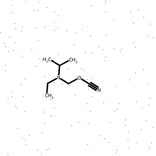 CCN(COC#N)C(C)C